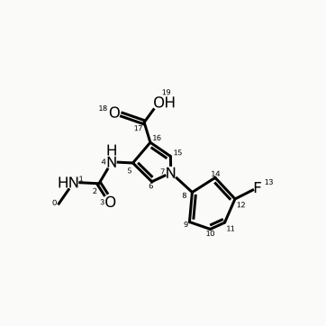 CNC(=O)Nc1cn(-c2cccc(F)c2)cc1C(=O)O